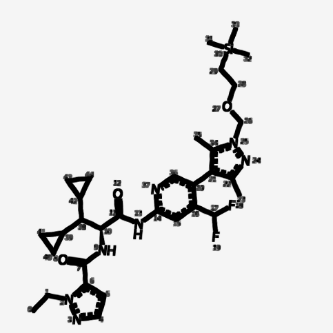 CCn1nccc1C(=O)N[C@H](C(=O)Nc1cc(C(F)F)c(-c2c(C)nn(COCC[Si](C)(C)C)c2C)cn1)C(C1CC1)C1CC1